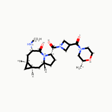 C[C@@H]1CN(C(=O)C2CN(C(=O)[C@@H]3CC[C@@H]4C[C@H]5C[C@H]5C[C@H](NC(=O)O)C(=O)N43)C2)CCO1